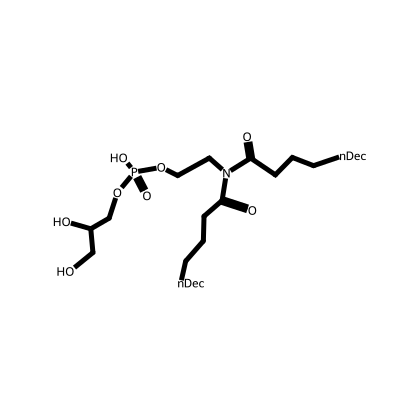 CCCCCCCCCCCCCC(=O)N(CCOP(=O)(O)OCC(O)CO)C(=O)CCCCCCCCCCCCC